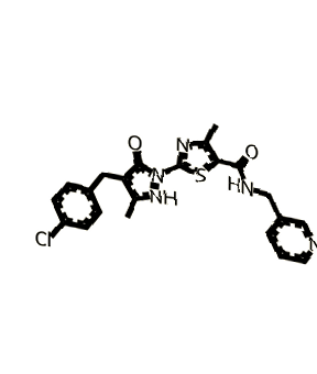 Cc1nc(-n2[nH]c(C)c(Cc3ccc(Cl)cc3)c2=O)sc1C(=O)NCc1cccnc1